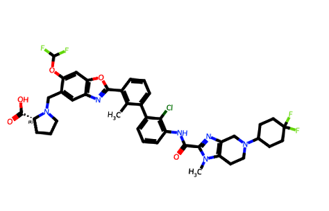 Cc1c(-c2nc3cc(CN4CCC[C@@H]4C(=O)O)c(OC(F)F)cc3o2)cccc1-c1cccc(NC(=O)c2nc3c(n2C)CCN(C2CCC(F)(F)CC2)C3)c1Cl